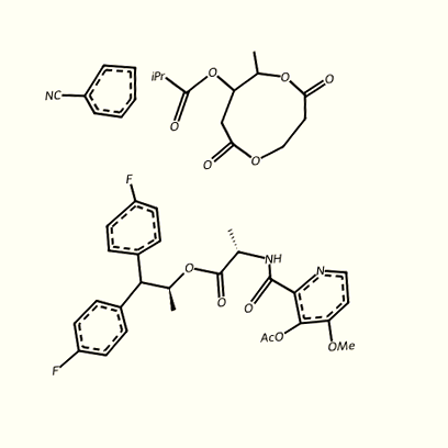 CC(C)C(=O)OC1CC(=O)OCCC(=O)OC1C.COc1ccnc(C(=O)N[C@@H](C)C(=O)O[C@@H](C)C(c2ccc(F)cc2)c2ccc(F)cc2)c1OC(C)=O.N#Cc1ccccc1